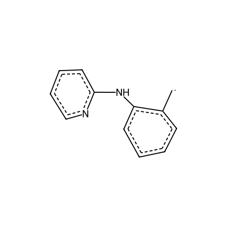 [CH2]c1ccccc1Nc1ccccn1